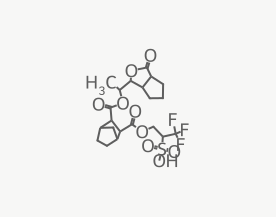 CC(OC(=O)C1C2CCC(C2)C1C(=O)OCC(C(F)(F)F)S(=O)(=O)O)C1OC(=O)C2CCCC21